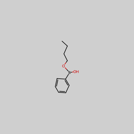 CCCCOB(O)c1ccccc1